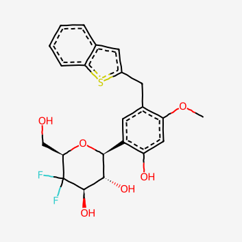 COc1cc(O)c([C@@H]2O[C@H](CO)C(F)(F)[C@H](O)[C@H]2O)cc1Cc1cc2ccccc2s1